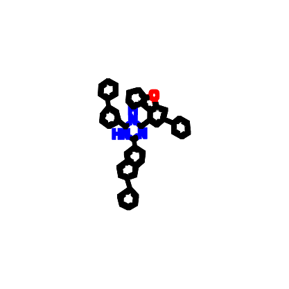 c1ccc(-c2cccc(C3NC(c4ccc5cc(-c6ccccc6)ccc5c4)=NC(c4cc(-c5ccccc5)cc5oc6ccccc6c45)N3)c2)cc1